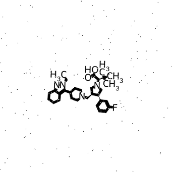 CCn1nc2c(c1C1CCN(C[C@H]3CN([C@@H](C(=O)O)C(C)(C)C)C[C@@H]3c3cccc(F)c3)CC1)CCCC2